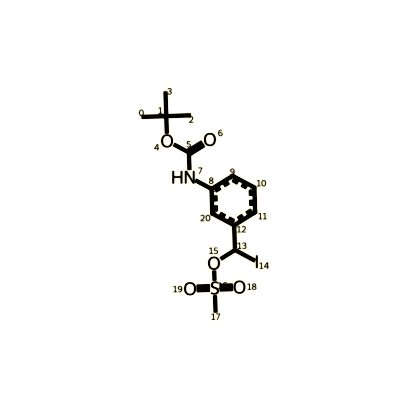 CC(C)(C)OC(=O)Nc1cccc(C(I)OS(C)(=O)=O)c1